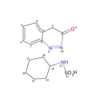 O=C1Cc2ccccc2N=N1.O=S(=O)(O)NC1CCCCC1